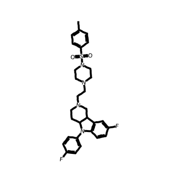 Cc1ccc(S(=O)(=O)N2CCN(CCN3CCC4C(C3)c3cc(F)ccc3N4c3ccc(F)cc3)CC2)cc1